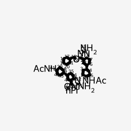 CC(=O)Nc1ccc(-c2ccc3nc(N)nc(OCc4ccccc4)c3c2)cc1.CCCOc1nc(N)nc2ccc(-c3ccc(NC(C)=O)cc3)cc12